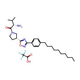 CCCCCCCCCCc1ccc(-c2noc([C@@H]3CCN(C(=O)[C@@H](N)C(C)C)C3)n2)cc1.O=C(O)C(F)(F)F